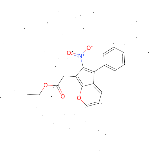 CCOC(=O)Cc1c2occcc-2c(-c2ccccc2)c1[N+](=O)[O-]